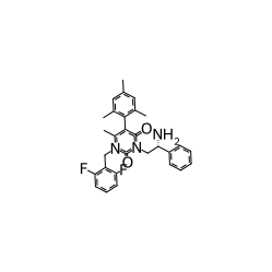 Cc1cc(C)c(-c2c(C)n(Cc3c(F)cccc3F)c(=O)n(C[C@H](N)c3ccccc3)c2=O)c(C)c1